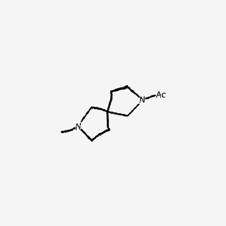 CC(=O)N1CCC2(CCN(C)C2)C1